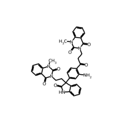 Cn1c(=O)n(CCC(=O)c2ccc(C3(CCn4c(=O)c5ccccc5n(C)c4=O)C(=O)Nc4ccccc43)cc2N)c(=O)c2ccccc21